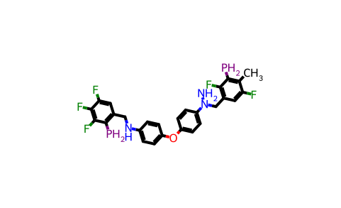 Cc1c(F)cc(CN(N)c2ccc(Oc3ccc(NCc4cc(F)c(F)c(F)c4P)cc3)cc2)c(F)c1P